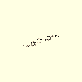 CCCCCCCCCCc1cnc(C2CCC(COc3ccc(CCCCCC)cc3)CC2)nc1